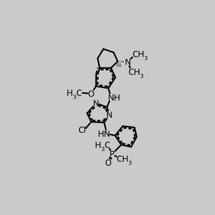 COc1cc2c(cc1Nc1ncc(Cl)c(Nc3ccccc3P(C)(C)=O)n1)[C@@H](N(C)C)CCC2